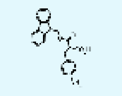 Nc1ccc(CC(C(=O)O)C(=O)OCC2c3ccccc3-c3ccccc32)cc1